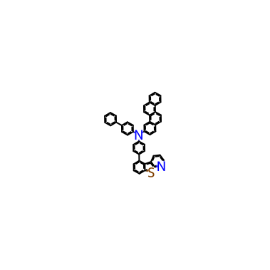 c1ccc(-c2ccc(N(c3ccc(-c4cccc5sc6ncccc6c45)cc3)c3ccc4ccc5c6ccccc6ccc5c4c3)cc2)cc1